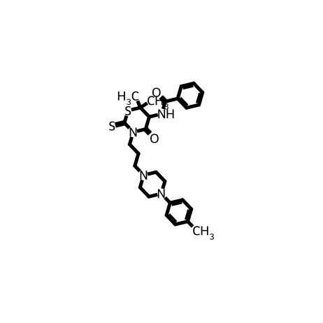 Cc1ccc(N2CCN(CCCN3C(=O)C(NC(=O)c4ccccc4)C(C)(C)SC3=S)CC2)cc1